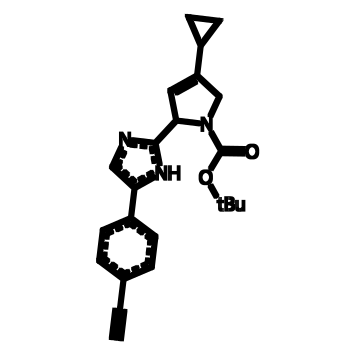 C#Cc1ccc(-c2cnc(C3C=C(C4CC4)CN3C(=O)OC(C)(C)C)[nH]2)cc1